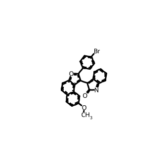 COc1ccc2ccc3oc(-c4ccc(Br)cc4)c(C4=c5ccccc5=NC4=O)c3c2c1